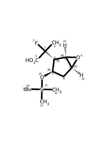 CC(F)(C(=O)O)[C@@H]1[C@H]2O[C@H]2C[C@H]1O[Si](C)(C)C(C)(C)C